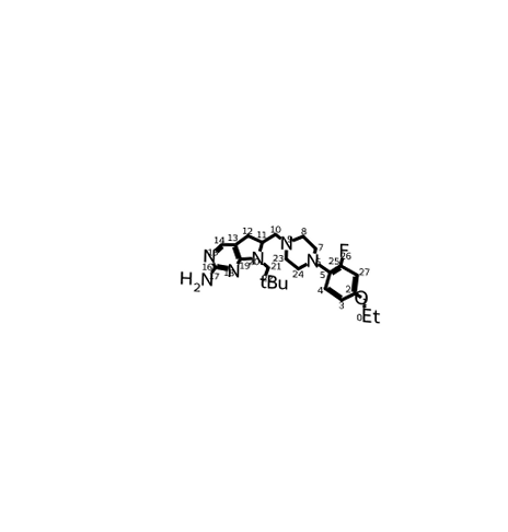 CCOc1ccc(N2CCN(CC3Cc4cnc(N)nc4N3CC(C)(C)C)CC2)c(F)c1